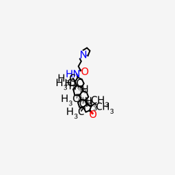 CC(C)C1=C2[C@H]3CC[C@@H]4[C@@]5(C)CCC(NC(=O)CCCN6CCCC6)C(C)(C)[C@@H]5CC[C@@]4(C)[C@]3(C)CC[C@@]2(C)CC1=O